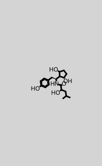 CC(C)CC(O)C(=O)N[C@@H](Cc1ccc(O)cc1)C1C(O)CCC1O